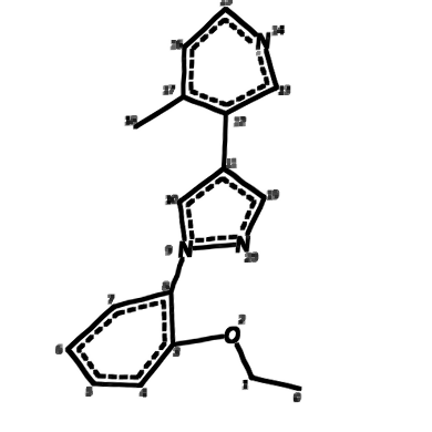 CCOc1ccccc1-n1cc(-c2cnccc2C)cn1